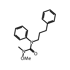 CON(C)C(=O)N(CCCc1ccccc1)c1ccccc1